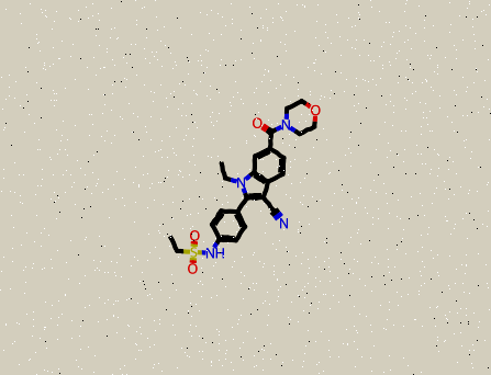 CCn1c(-c2ccc(NS(=O)(=O)CC)cc2)c(C#N)c2ccc(C(=O)N3CCOCC3)cc21